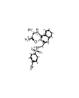 CC(C)[C@H](Nc1nc(CNS(=O)(=O)c2ccc(Br)cc2)nc2ccccc12)C(N)=O